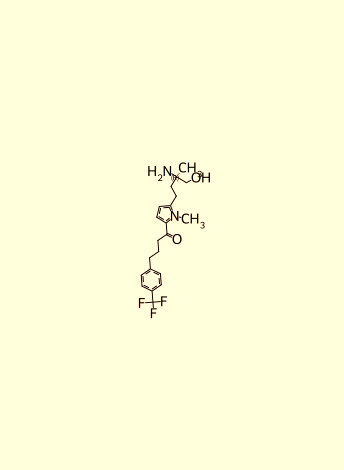 Cn1c(CC[C@@](C)(N)CO)ccc1C(=O)CCCc1ccc(C(F)(F)F)cc1